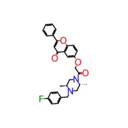 C[C@@H]1CN(Cc2ccc(F)cc2)[C@@H](C)CN1C(=O)COc1ccc2oc(-c3ccccc3)cc(=O)c2c1